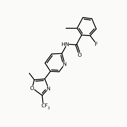 Cc1cccc(F)c1C(=O)Nc1ccc(-c2nc(C(F)(F)F)oc2C)cn1